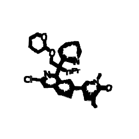 CCCC(COC1CCCCO1)(c1ccccn1)c1nc(Cl)cc2ccc(-c3cc(C)c(=O)n(C)c3)cc12